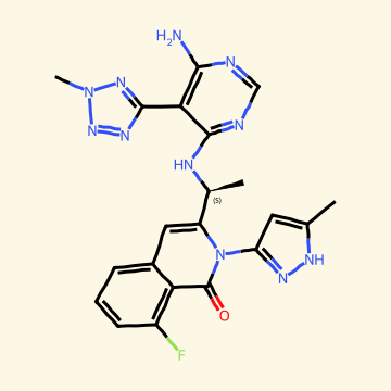 Cc1cc(-n2c([C@H](C)Nc3ncnc(N)c3-c3nnn(C)n3)cc3cccc(F)c3c2=O)n[nH]1